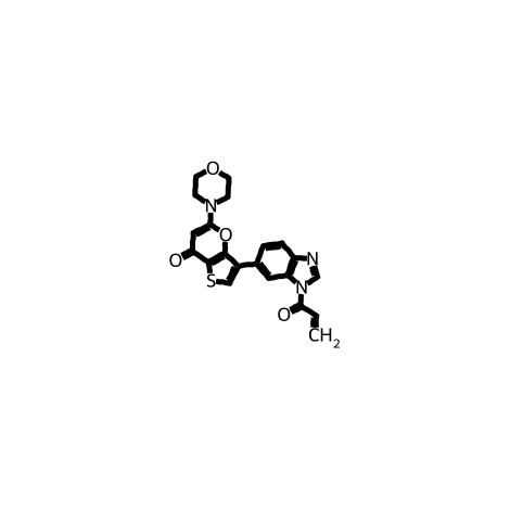 C=CC(=O)n1cnc2ccc(-c3csc4c(=O)cc(N5CCOCC5)oc34)cc21